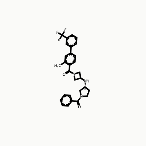 Cc1cc(-c2cccc(C(F)(F)F)c2)ccc1C(=O)N1CC(N[C@H]2CCN(C(=O)c3ccccc3)C2)C1